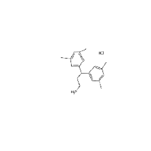 Cc1cc(C)cc(C(CCP)c2cc(C)cc(C)c2)c1.Cl